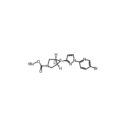 CC(C)(C)OC(=O)N1C[C@@H]2[C@H](C1)[C@H]2c1ccn(-c2ccc(Br)cn2)n1